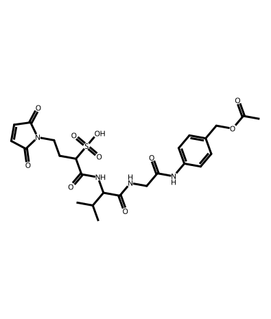 CC(=O)OCc1ccc(NC(=O)CNC(=O)C(NC(=O)C(CCN2C(=O)C=CC2=O)S(=O)(=O)O)C(C)C)cc1